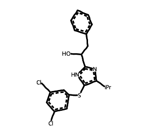 CC(C)c1nc(C(O)Cc2ccccc2)[nH]c1Sc1cc(Cl)cc(Cl)c1